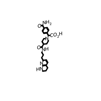 NC(=O)c1ccc(C(C(=O)O)N2CCC(C(=O)NCCCc3ccc4c(n3)NCCC4)CC2)cc1